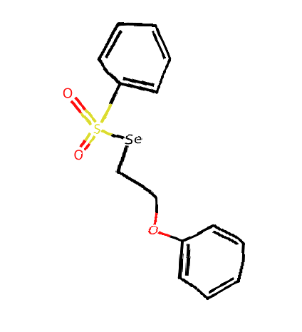 O=S(=O)([Se]CCOc1ccccc1)c1ccccc1